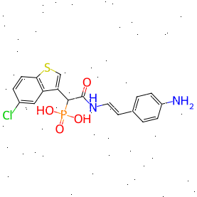 Nc1ccc(/C=C/NC(=O)C(c2csc3ccc(Cl)cc23)P(=O)(O)O)cc1